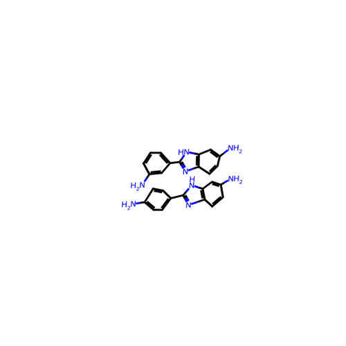 Nc1ccc(-c2nc3ccc(N)cc3[nH]2)cc1.Nc1cccc(-c2nc3ccc(N)cc3[nH]2)c1